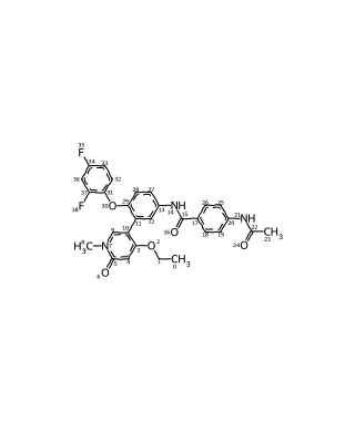 CCOc1cc(=O)n(C)cc1-c1cc(NC(=O)c2ccc(NC(C)=O)cc2)ccc1Oc1ccc(F)cc1F